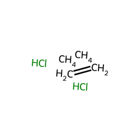 C.C.C=C.Cl.Cl